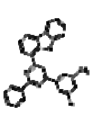 Cc1cc(Br)cc(-c2cc(-c3cccc4c3oc3ccccc34)nc(-c3ccccc3)n2)c1